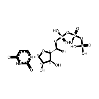 CCC(OP(=O)(O)OP(=O)(O)OP(=O)(O)O)[C@H]1O[C@@H](n2ccc(=O)[nH]c2=O)[C@H](O)[C@@H]1O